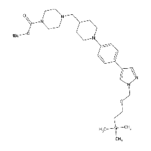 CC(C)(C)OC(=O)N1CCN(CC2CCN(c3ccc(-c4cnn(COCC[Si](C)(C)C)c4)cc3)CC2)CC1